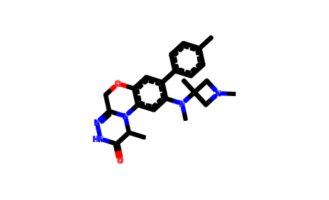 Cc1ccc(-c2cc3c(cc2N(C)C2(C)CN(C)C2)N2C(=NNC(=O)C2C)CO3)cc1